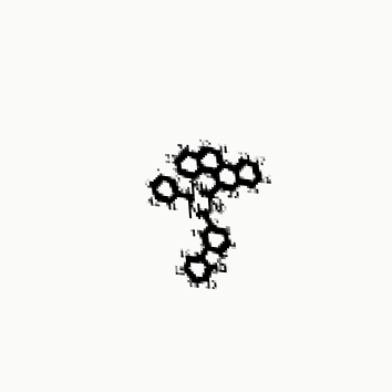 c1ccc(-c2nc(-c3ccc4sc5ccccc5c4c3)nc(-c3cc4ccccc4c4ccc5ccccc5c34)n2)cc1